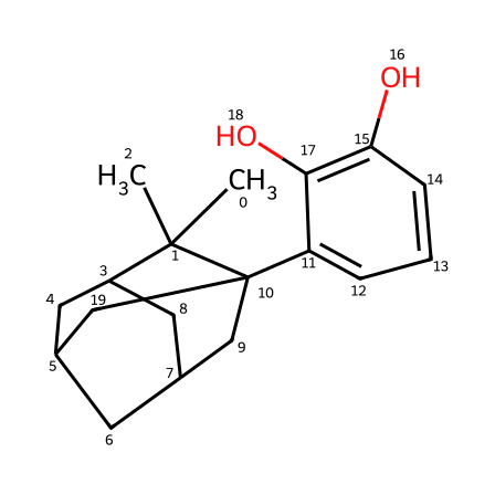 CC1(C)C2CC3CC(C2)CC1(c1cccc(O)c1O)C3